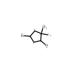 CCC1CC(CC)C(F)(C(F)(F)F)C1